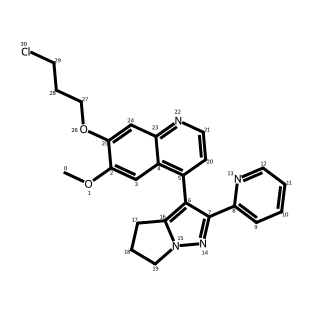 COc1cc2c(-c3c(-c4ccccn4)nn4c3CCC4)ccnc2cc1OCCCCl